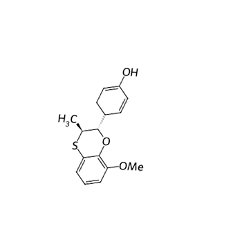 COc1cccc2c1O[C@@H](C1C=CC(O)=CC1)[C@H](C)S2